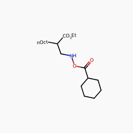 CCCCCCCCC(CNOC(=O)C1CCCCC1)C(=O)OCC